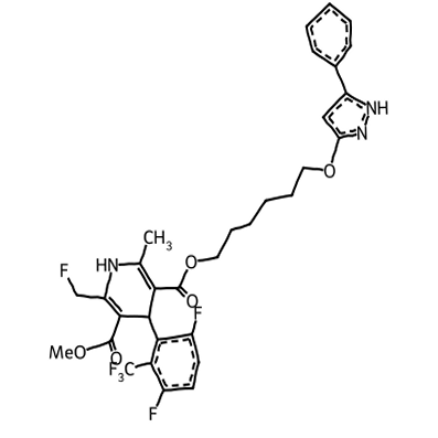 COC(=O)C1=C(CF)NC(C)=C(C(=O)OCCCCCCOc2cc(-c3ccccc3)[nH]n2)C1c1c(F)ccc(F)c1C(F)(F)F